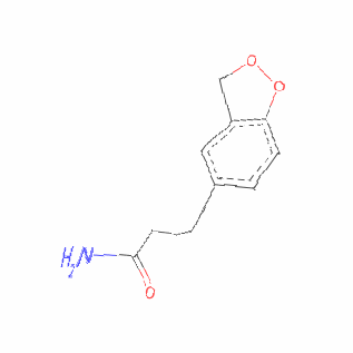 NC(=O)CCc1ccc2c(c1)COO2